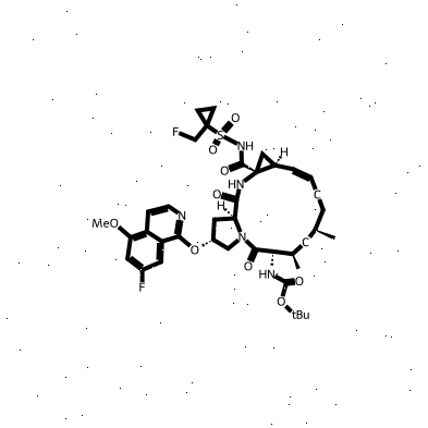 COc1cc(F)cc2c(O[C@@H]3C[C@H]4C(=O)N[C@]5(C(=O)NS(=O)(=O)C6(CF)CC6)C[C@H]5/C=C\CC[C@@H](C)C[C@@H](C)[C@H](NC(=O)OC(C)(C)C)C(=O)N4C3)nccc12